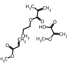 C=C(C)C(=O)O[CH]CC.C=C(OC)C(=O)O.C=CC(=O)OC